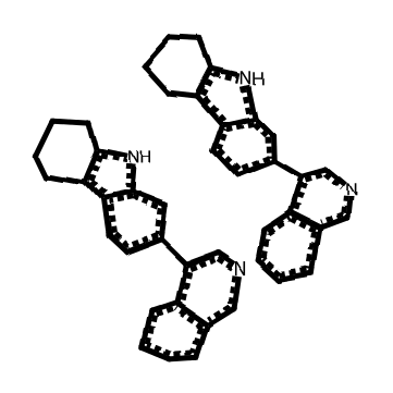 c1ccc2c(-c3ccc4c5c([nH]c4c3)CCCC5)cncc2c1.c1ccc2c(-c3ccc4c5c([nH]c4c3)CCCC5)cncc2c1